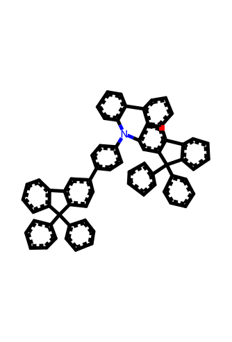 c1ccc(-c2ccccc2N(c2ccc(-c3ccc4c(c3)-c3ccccc3C4(c3ccccc3)c3ccccc3)cc2)c2ccc3c(c2)C(c2ccccc2)(c2ccccc2)c2ccccc2-3)cc1